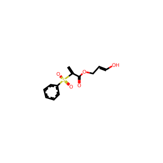 C=C(C(=O)OCC=CO)S(=O)(=O)c1ccccc1